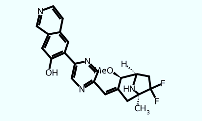 CO[C@@H]1/C(=C\c2cnc(-c3cc4ccncc4cc3O)cn2)C[C@@]2(C)N[C@@H]1CC2(F)F